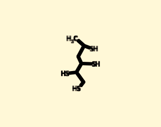 CC(S)CC(S)C(S)CS